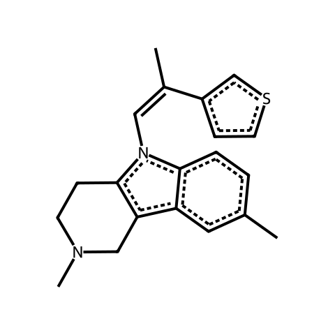 C/C(=C/n1c2c(c3cc(C)ccc31)CN(C)CC2)c1ccsc1